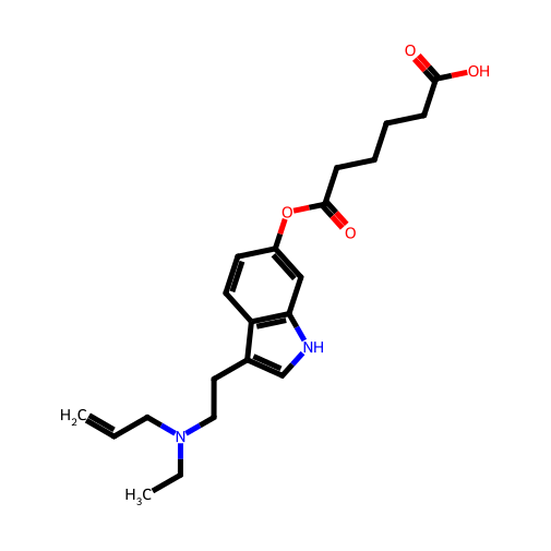 C=CCN(CC)CCc1c[nH]c2cc(OC(=O)CCCCC(=O)O)ccc12